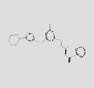 C=C(/C=C(\O)CNc1nc(C)cc(Nc2cc(C3CCCCC3)n[nH]2)n1)c1ccccc1